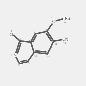 CC(C)(C)Oc1cc2c(Cl)nccc2cc1C#N